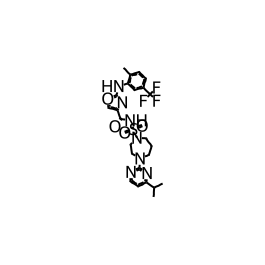 Cc1ccc(C(F)(F)F)cc1Nc1nc(C(=O)NS(=O)(=O)N2CCCN(c3nccc(C(C)C)n3)CC2)co1